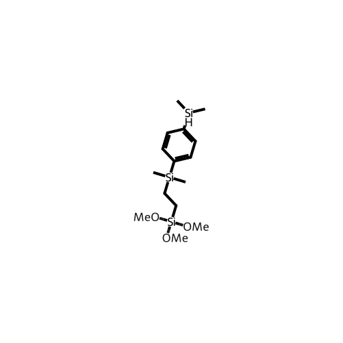 CO[Si](CC[Si](C)(C)c1ccc([SiH](C)C)cc1)(OC)OC